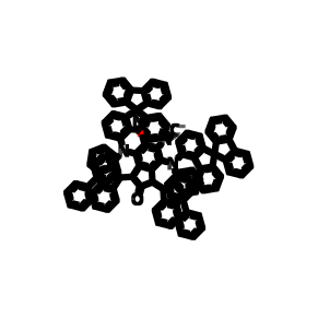 [C-]#[N+]c1c(C#N)c(N(c2ccc(-c3ccccc3)cc2)c2cccc3c2-c2ccccc2C32c3ccccc3-c3ccccc32)c2c(c1N(c1ccc(-c3ccccc3)cc1)c1cccc3c1-c1ccccc1C31c3ccccc3-c3ccccc31)C(C1c3ccccc3-c3ccccc31)C(=O)C2C1c2ccccc2-c2ccccc21